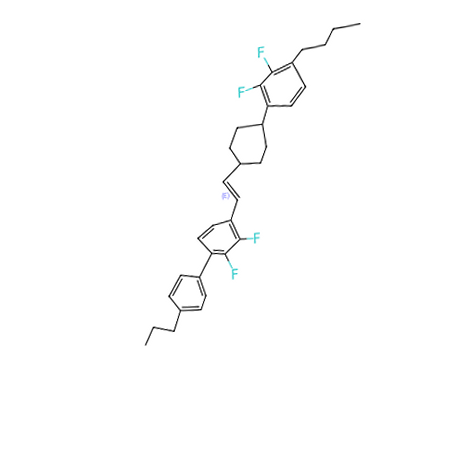 CCCCc1ccc(C2CCC(/C=C/c3ccc(-c4ccc(CCC)cc4)c(F)c3F)CC2)c(F)c1F